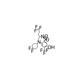 CN1C(CCC(F)(F)F)CN(C2CCC(F)(F)CC2)c2cc(C(F)(F)F)c(O)cc2S1(=O)=O